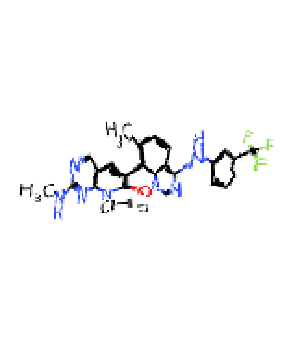 CNc1ncc2cc(-c3c(C)ccc4c(Nc5cccc(C(F)(F)F)c5)ncnc34)c(=O)n(C)c2n1